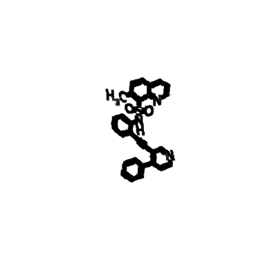 Cc1ccc2cccnc2c1S(=O)(=O)Nc1ccccc1C#Cc1cnccc1-c1ccccc1